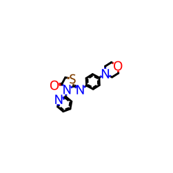 O=C1CSC(=Nc2ccc(N3CCOCC3)cc2)N1c1ccccn1